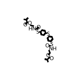 C=C(C)C(=O)OCCNC(=O)Sc1ccc(Sc2ccc(SC(=O)NCCOC(=O)C(=C)C)cc2)cc1